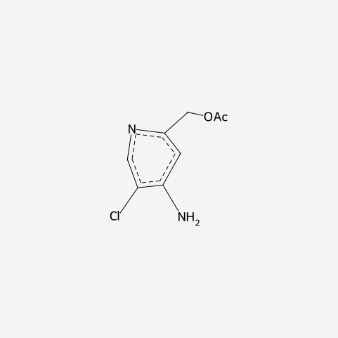 CC(=O)OCc1cc(N)c(Cl)cn1